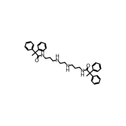 CC(C(=O)NCCCNCCNCCCNC(=O)C(C)(c1ccccc1)c1ccccc1)(c1ccccc1)c1ccccc1